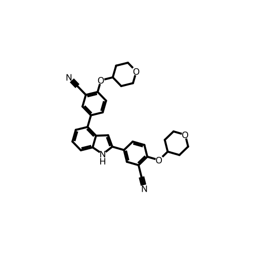 N#Cc1cc(-c2cc3c(-c4ccc(OC5CCOCC5)c(C#N)c4)cccc3[nH]2)ccc1OC1CCOCC1